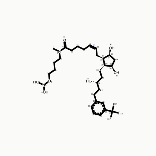 CN(CCCCON(O)O)C(=O)CCC/C=C\C[C@@H]1[C@@H](CC[C@@H](O)CCc2cccc(C(F)(F)F)c2)[C@H](O)C[C@@H]1O